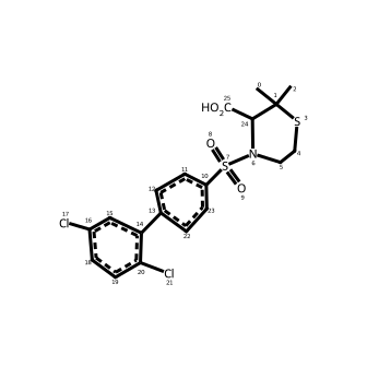 CC1(C)SCCN(S(=O)(=O)c2ccc(-c3cc(Cl)ccc3Cl)cc2)C1C(=O)O